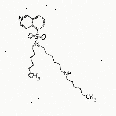 CCCCCCNCCCCCCN(CCCCCC)S(=O)(=O)c1cccc2cnccc12